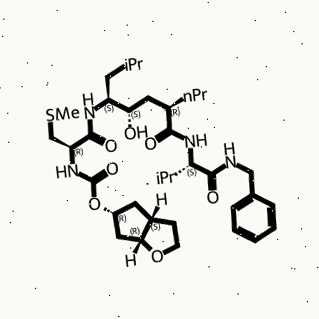 CCC[C@H](C[C@H](O)[C@H](CC(C)C)NC(=O)[C@H](CSC)NC(=O)O[C@@H]1C[C@@H]2CCO[C@@H]2C1)C(=O)N[C@H](C(=O)NCc1ccccc1)C(C)C